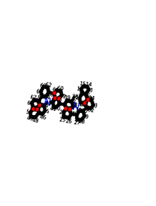 Cc1cc(-c2ccc(N(c3ccc4ccccc4c3)c3c(-c4ccccc4)cccc3-c3ccccc3)c(C)c2)ccc1N(c1ccc2ccccc2c1)c1c(-c2ccccc2)cccc1-c1ccccc1